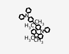 CC(C)(c1ccc(N(c2ccccc2)c2ccccc2)cc1)c1ccc(N(c2ccccc2)c2cccc3c2-c2ccccc2C3(C)C)cc1